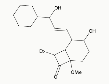 CCC1C(=O)C2(OC)CCC(O)C(C=CC(O)C3CCCCC3)C12